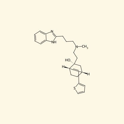 CN(CCCc1nc2ccccc2[nH]1)CC[C@@]1(O)C[C@@H]2CC[C@H]1C=C2c1cccs1